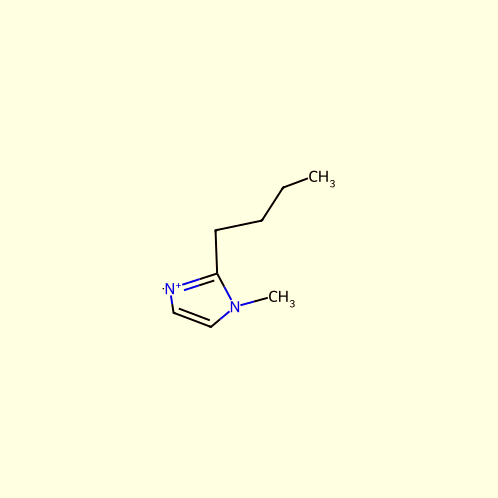 CCCCC1=[N+]C=CN1C